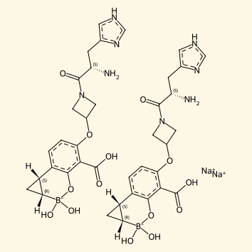 N[C@@H](Cc1c[nH]cn1)C(=O)N1CC(Oc2ccc3c(c2C(=O)O)O[B-](O)(O)[C@@H]2C[C@H]32)C1.N[C@@H](Cc1c[nH]cn1)C(=O)N1CC(Oc2ccc3c(c2C(=O)O)O[B-](O)(O)[C@@H]2C[C@H]32)C1.[Na+].[Na+]